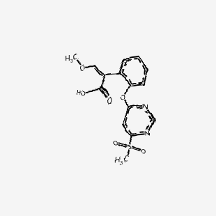 CO/C=C(\C(=O)O)c1ccccc1Oc1cc(S(C)(=O)=O)ncn1